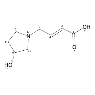 O=C(O)/C=C/CN1CC[C@@H](O)C1